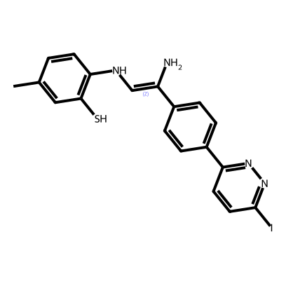 Cc1ccc(N/C=C(\N)c2ccc(-c3ccc(I)nn3)cc2)c(S)c1